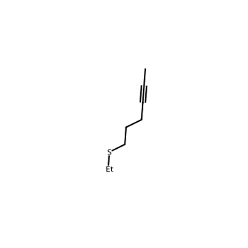 [CH2]CSCCCC#CC